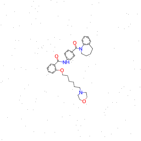 O=C(Nc1ccc(C(=O)N2CCCCc3ccccc32)cc1)c1ccccc1OCCCCCCN1CCOCC1